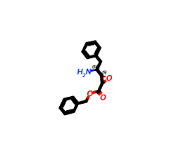 N[C@@H](Cc1ccccc1)[C@@H]1OC1C(=O)OCc1ccccc1